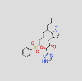 CCCC(CCCCS(=O)(=O)c1ccccc1)c1[nH]ccc1CC(=O)C(=O)c1nc[nH]n1